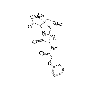 COC(=O)C1N2C(=O)C(NC(=O)COc3ccccc3)[C@H]2SC1(C)COC(C)=O